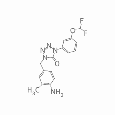 Cc1cc(Cn2nnn(-c3cccc(OC(F)F)c3)c2=O)ccc1N